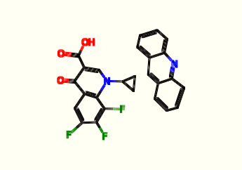 O=C(O)c1cn(C2CC2)c2c(F)c(F)c(F)cc2c1=O.c1ccc2nc3ccccc3cc2c1